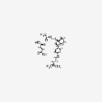 CC(=O)OCCn1nc(-c2ccc(OCCCN(C)C)cc2)c2cccnc21.O=C(O)C=CC(=O)O